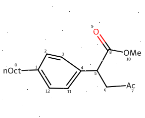 CCCCCCCCc1ccc(C(CC(C)=O)C(=O)OC)cc1